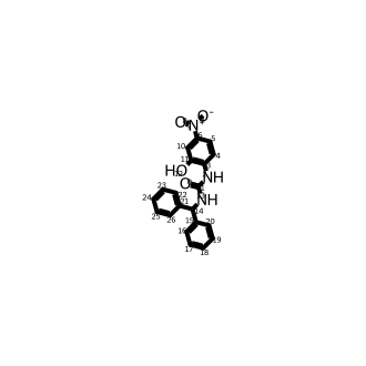 O=C(Nc1ccc([N+](=O)[O-])cc1O)NC(c1ccccc1)c1ccccc1